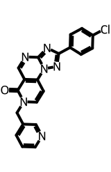 O=c1c2cnc3nc(-c4ccc(Cl)cc4)nn3c2ccn1Cc1cccnc1